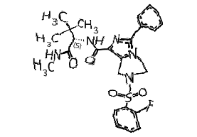 CNC(=O)[C@@H](NC(=O)c1nc(-c2ccccc2)n2c1CN(S(=O)(=O)c1ccccc1F)CC2)C(C)(C)C